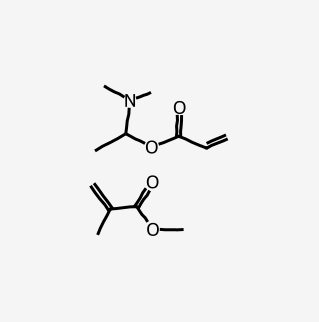 C=C(C)C(=O)OC.C=CC(=O)OC(C)N(C)C